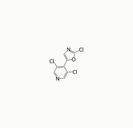 Clc1ncc(-c2c(Cl)cncc2Cl)o1